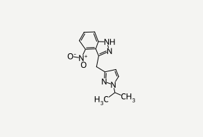 CC(C)n1ccc(Cc2n[nH]c3cccc([N+](=O)[O-])c23)n1